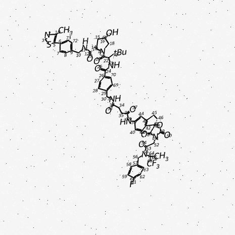 Cc1ncsc1-c1ccc(CNC(=O)[C@@H]2C[C@@H](O)CN2C(=O)C(NC(=O)c2ccc(CNC(=O)CCC(=O)Nc3ccc4c(c3)CC[C@@]43OC(=O)N(CC(=O)N(Cc4ccc(F)cc4)[C@@H](C)C(F)(F)F)C3=O)cc2)C(C)(C)C)cc1